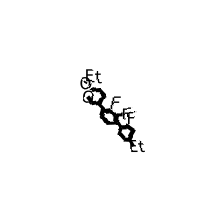 CCOC1CCC(c2ccc(-c3ccc(CC)cc3F)c(F)c2F)CO1